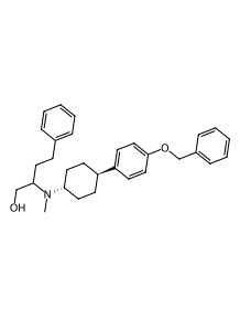 CN(C(CO)CCc1ccccc1)[C@H]1CC[C@H](c2ccc(OCc3ccccc3)cc2)CC1